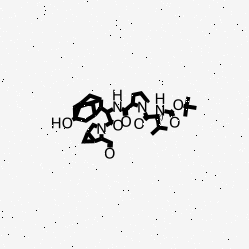 CC(C)[C@@H](NC(=O)OC(C)(C)C)C(=O)N1CCCC1C(=O)NC(C(=O)N1CC2CC2C1C=O)C1C2CC3CC1CC(O)(C3)C2